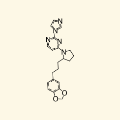 c1cn(-c2nccc(N3CCCC3CCCc3ccc4c(c3)OCO4)n2)cn1